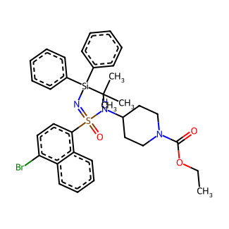 CCOC(=O)N1CCC(NS(=O)(=N[Si](c2ccccc2)(c2ccccc2)C(C)(C)C)c2ccc(Br)c3ccccc23)CC1